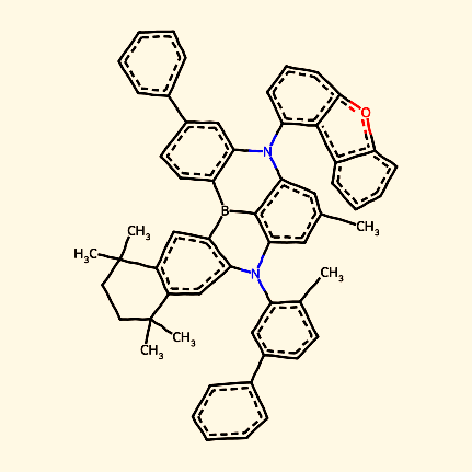 Cc1cc2c3c(c1)N(c1cccc4oc5ccccc5c14)c1cc(-c4ccccc4)ccc1B3c1cc3c(cc1N2c1cc(-c2ccccc2)ccc1C)C(C)(C)CCC3(C)C